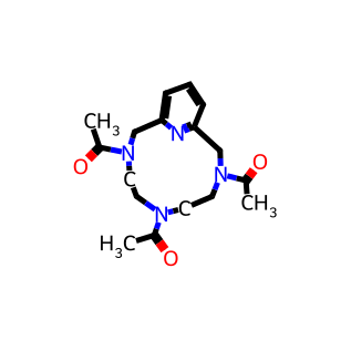 CC(=O)N1CCN(C(C)=O)Cc2cccc(n2)CN(C(C)=O)CC1